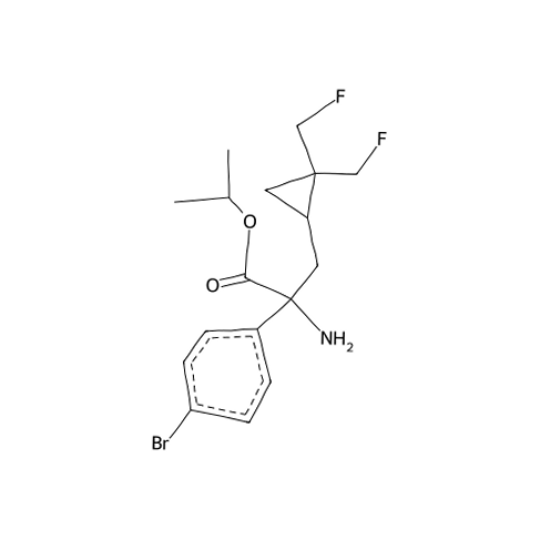 CC(C)OC(=O)C(N)(CC1CC1(CF)CF)c1ccc(Br)cc1